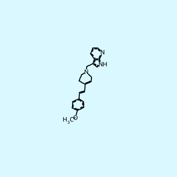 COc1ccc(C=CC2=CCN(Cc3c[nH]c4ncccc34)CC2)cc1